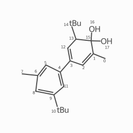 CC1=CC(c2cc(C)cc(C(C)(C)C)c2)=CC(C(C)(C)C)C1(O)O